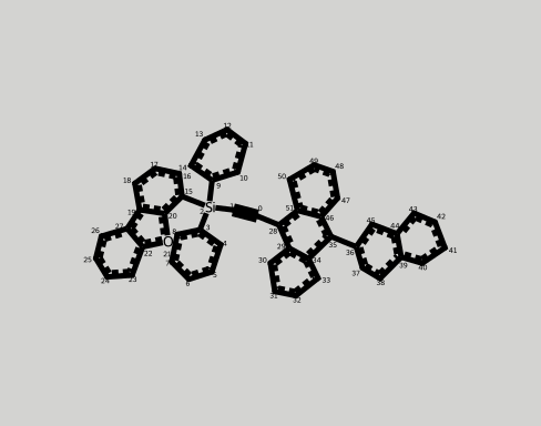 C(#C[Si](c1ccccc1)(c1ccccc1)c1cccc2c1oc1ccccc12)c1c2ccccc2c(-c2ccc3ccccc3c2)c2ccccc12